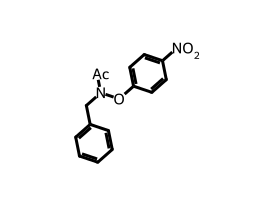 CC(=O)N(Cc1ccccc1)Oc1ccc([N+](=O)[O-])cc1